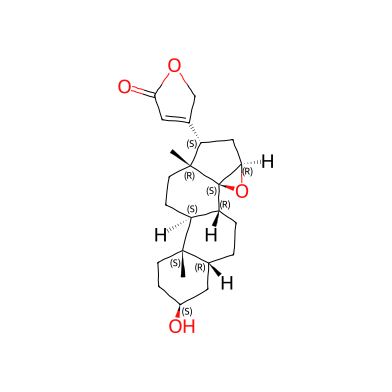 C[C@]12CC[C@H](O)C[C@H]1CC[C@@H]1[C@@H]2CC[C@]2(C)[C@H](C3=CC(=O)OC3)C[C@H]3O[C@]132